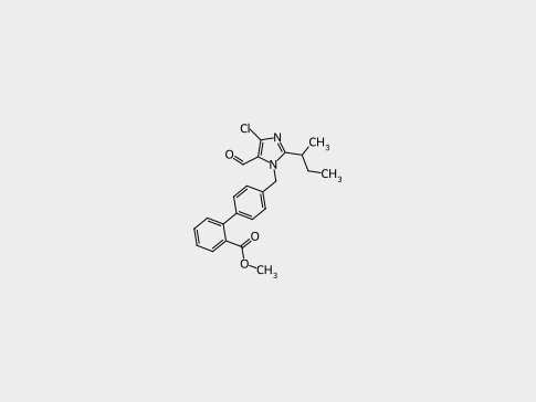 CCC(C)c1nc(Cl)c(C=O)n1Cc1ccc(-c2ccccc2C(=O)OC)cc1